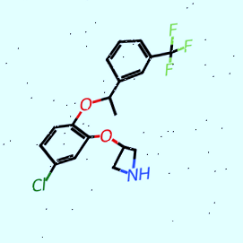 CC(Oc1ccc(Cl)cc1OC1CNC1)c1cccc(C(F)(F)F)c1